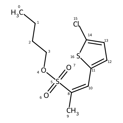 CCCCOS(=O)(=O)C(C)=Cc1ccc(Cl)s1